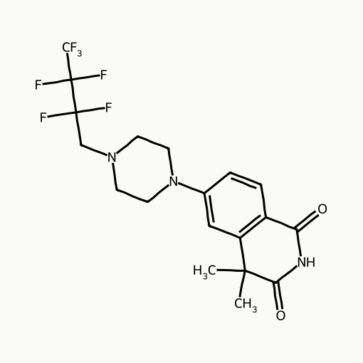 CC1(C)C(=O)NC(=O)c2ccc(N3CCN(CC(F)(F)C(F)(F)C(F)(F)F)CC3)cc21